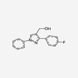 OCc1cn(-c2ccccc2)nc1-c1ccc(F)cc1